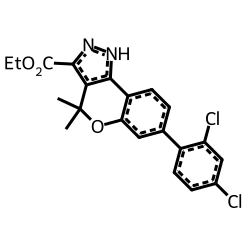 CCOC(=O)c1n[nH]c2c1C(C)(C)Oc1cc(-c3ccc(Cl)cc3Cl)ccc1-2